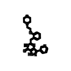 O=c1[nH]c(Cc2ccccc2OCCN2CCOCC2)nc2c(-c3cccnc3)n[nH]c12